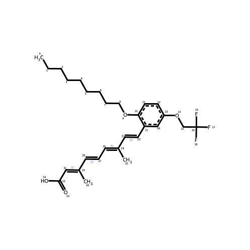 CCCCCCCCCOc1ccc(OCC(F)(F)F)cc1/C=C/C(C)=C/C=C/C(C)=C/C(=O)O